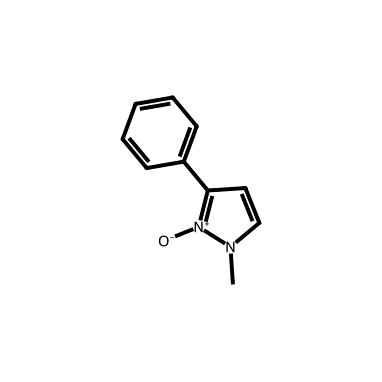 Cn1ccc(-c2ccccc2)[n+]1[O-]